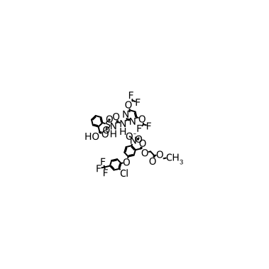 CCOC(=O)COC(=O)c1cc(Oc2ccc(C(F)(F)F)cc2Cl)ccc1[N+](=O)[O-].O=C(Nc1nc(OC(F)F)cc(OC(F)F)n1)NS(=O)(=O)c1ccccc1C(=O)O